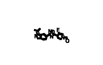 CC(C)n1ncc2ccc(-c3noc(C4CCN(C=O)C=C4F)n3)cc21